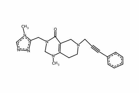 CN1CN(Cc2nncn2C)C(=O)C2=C1CCN(CC#Cc1ccccc1)C2